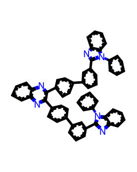 c1ccc(-n2c(-c3cccc(-c4ccc(-c5nc6ccccc6nc5-c5ccc(-c6cccc(-c7nc8ccccc8n7-c7ccccc7)c6)cc5)cc4)c3)nc3ccccc32)cc1